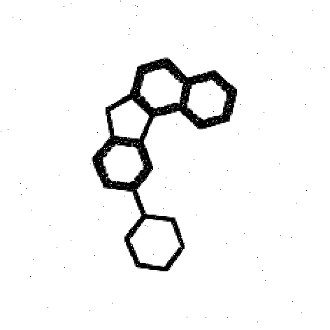 c1ccc2c3c(ccc2c1)Cc1ccc(C2CCCCC2)cc1-3